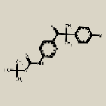 CC(C)(C)OC(=O)Nc1ccc(C(=O)C(C)(C)c2ccc(Br)cc2)nc1